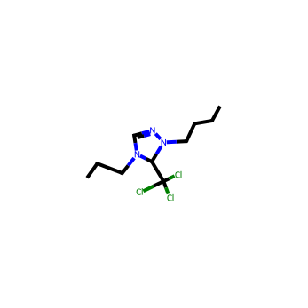 CCCCN1N=CN(CCC)C1C(Cl)(Cl)Cl